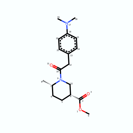 COC(=O)[C@@H]1CC[C@H](C)N(C(=O)Cc2ccc(N(C)C)cc2)C1